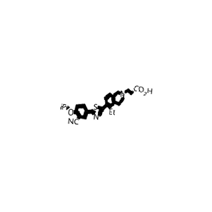 CCc1c(-c2cnc(-c3ccc(OC(C)C)c(C#N)c3)s2)ccc2c1CCN(CCC(=O)O)C2